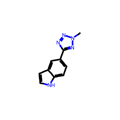 Cn1nnc(-c2ccc3[nH]ccc3c2)n1